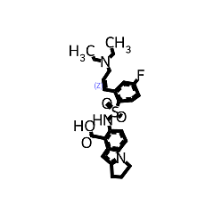 CCN(CC)C/C=C\c1cc(F)ccc1S(=O)(=O)Nc1ccc2c(cc3n2CCC3)c1C(=O)O